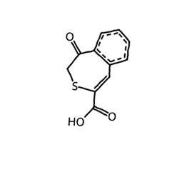 O=C(O)C1=Cc2ccccc2C(=O)CS1